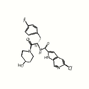 O=C(N[C@@H](Cc1ccc(F)cc1)C(=O)N1CCC(O)CC1)c1cc2cc(Cl)ncc2[nH]1